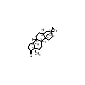 CC[C@]12CC[C@]3(CO3)C[C@@H]1CC[C@@H]1[C@@H]2CC[C@]2(C)C(=O)CC[C@@H]12